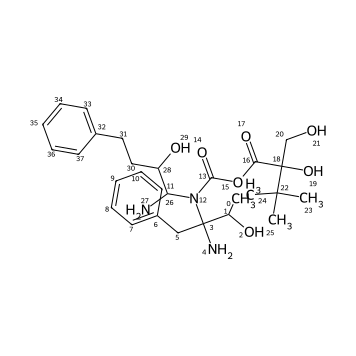 CC(O)C(N)(Cc1ccccc1)N(C(=O)OC(=O)C(O)(CO)C(C)(C)C)C(N)C(O)CCc1ccccc1